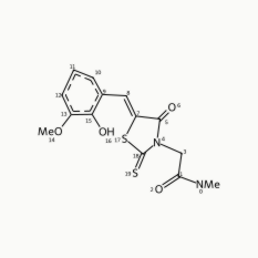 CNC(=O)CN1C(=O)C(=Cc2cccc(OC)c2O)SC1=S